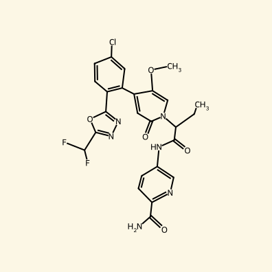 CCC(C(=O)Nc1ccc(C(N)=O)nc1)n1cc(OC)c(-c2cc(Cl)ccc2-c2nnc(C(F)F)o2)cc1=O